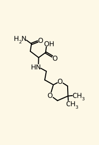 CC1(C)COC(CCNC(CC(N)=O)C(=O)O)OC1